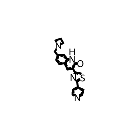 O=c1[nH]c2cc(CN3CCC3)ccc2cc1-c1csc(-c2ccncc2)n1